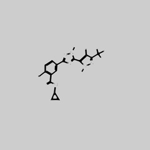 Cn1nc(-c2ccc(Cl)c(C(=O)NC3CC3)c2)nc1-c1c(C(F)(F)F)c(C(F)(F)C(F)(F)F)nn1C